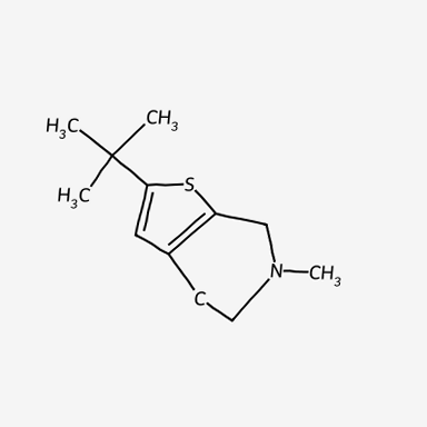 CN1CCc2cc(C(C)(C)C)sc2C1